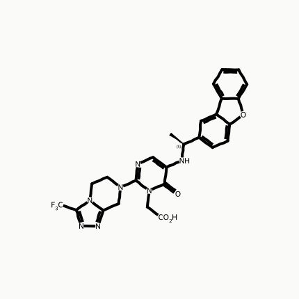 C[C@H](Nc1cnc(N2CCn3c(nnc3C(F)(F)F)C2)n(CC(=O)O)c1=O)c1ccc2oc3ccccc3c2c1